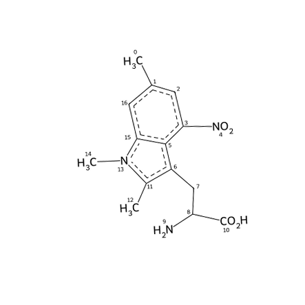 Cc1cc([N+](=O)[O-])c2c(CC(N)C(=O)O)c(C)n(C)c2c1